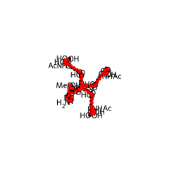 COP(=O)(O)OC1C[C@H](n2cnc3c(N)ncnc32)O[C@@H]1COP(=O)(O)OCC(COCCCOP(=O)(O)OCCCCCCO[C@@H]1OC(CO)[C@H](O)C(O)[C@@H]1NC(C)=O)(COCCCOP(=O)(O)OCCCCCCO[C@@H]1OC(CO)[C@H](O)C(O)[C@@H]1NC(C)=O)COCCCOP(=O)(O)OCCCCCCO[C@@H]1OC2CO[C@@H]2C(O)[C@@H]1NC(C)=O